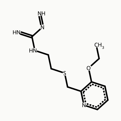 CCOc1cccnc1CSCCNC(=N)N=N